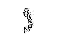 O=C(C(O)c1ccccc1F)N1Cc2cn(Sc3ccc(OC(F)F)cc3)nc2C1